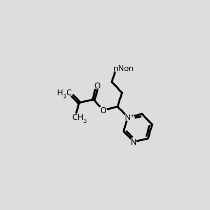 C=C(C)C(=O)OC(CCCCCCCCCCC)[n+]1cccnc1